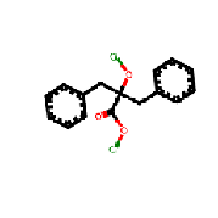 O=C(OCl)C(Cc1ccccc1)(Cc1ccccc1)OCl